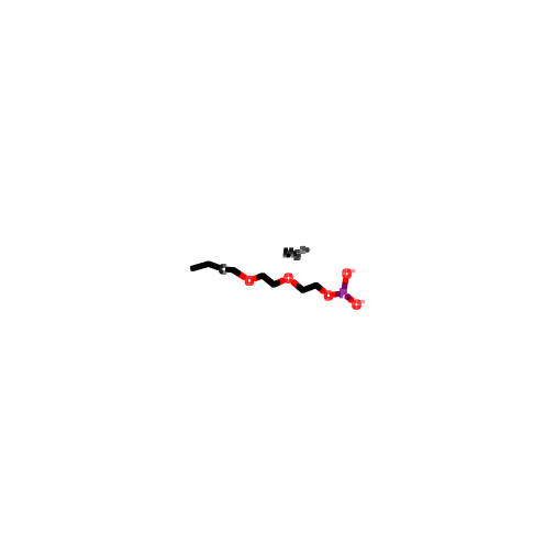 CCCCOCCOCCOP([O-])[O-].[Mg+2]